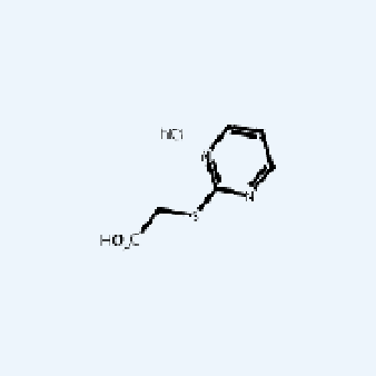 Cl.O=C(O)CSc1ncccn1